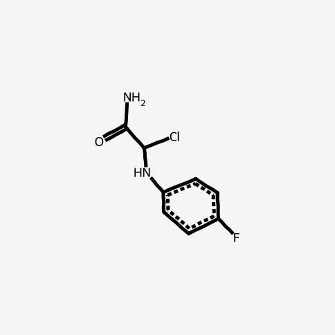 NC(=O)C(Cl)Nc1ccc(F)cc1